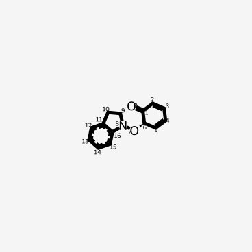 O=C1C=CC=C[C@@H]1ON1CCc2ccccc21